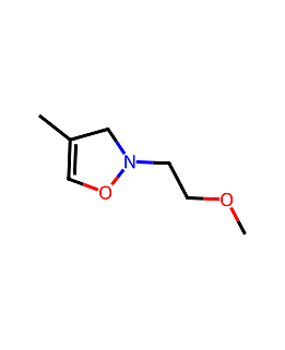 COCCN1CC(C)=CO1